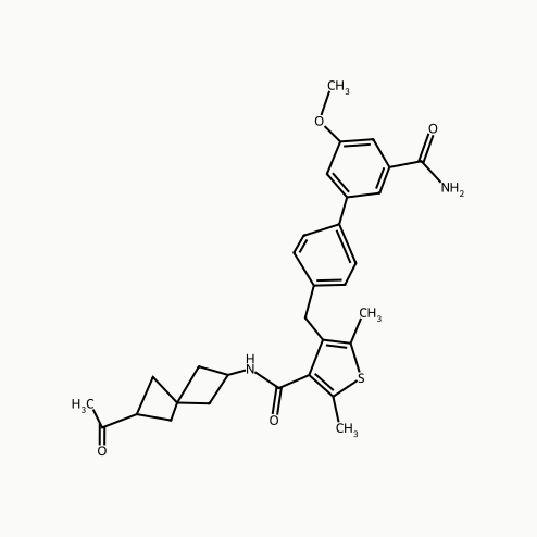 COc1cc(C(N)=O)cc(-c2ccc(Cc3c(C)sc(C)c3C(=O)NC3CC4(C3)CC(C(C)=O)C4)cc2)c1